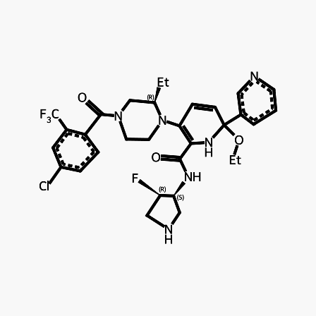 CCOC1(c2cccnc2)C=CC(N2CCN(C(=O)c3ccc(Cl)cc3C(F)(F)F)C[C@H]2CC)=C(C(=O)N[C@H]2CNC[C@H]2F)N1